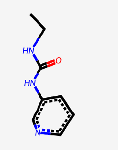 CCNC(=O)Nc1cccnc1